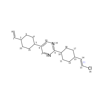 C=CC1CCC(c2cnc(C3CCC(/C=C/Cl)CC3)nc2)CC1